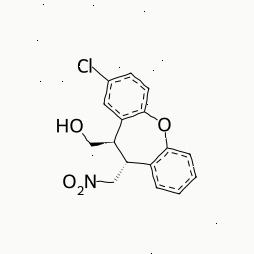 O=[N+]([O-])C[C@H]1c2ccccc2Oc2ccc(Cl)cc2[C@@H]1CO